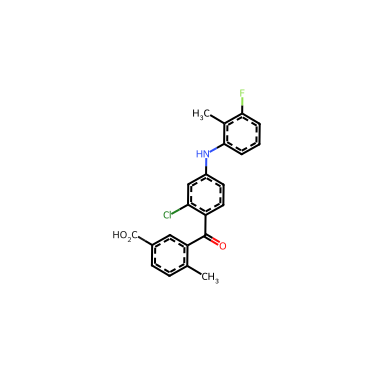 Cc1ccc(C(=O)O)cc1C(=O)c1ccc(Nc2cccc(F)c2C)cc1Cl